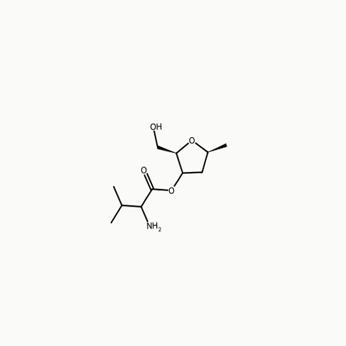 CC(C)C(N)C(=O)OC1C[C@H](C)O[C@@H]1CO